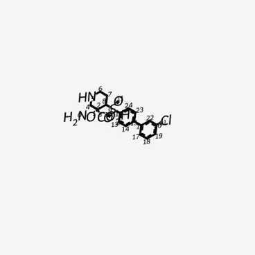 NOC1(C(=O)O)CNCCC1S(=O)(=O)c1ccc(-c2cccc(Cl)c2)cc1